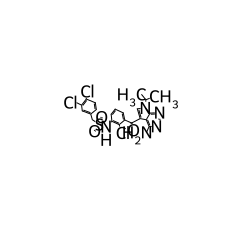 CC(C)n1cc(C(=O)c2cccc(NS(=O)(=O)Cc3ccc(Cl)c(Cl)c3)c2Cl)c2c(N)ncnc21